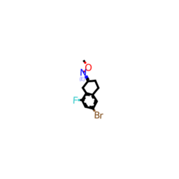 CO/N=C1\CCc2cc(Br)cc(F)c2C1